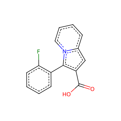 O=C(O)c1cc2ccccn2c1-c1ccccc1F